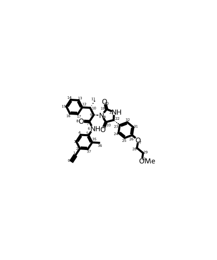 C#Cc1ccc(NC(=O)[C@H]([C@@H](C)c2ccccc2)N2C(=O)N[C@H](c3ccc(OCCOC)cc3)C2=O)c(C)c1